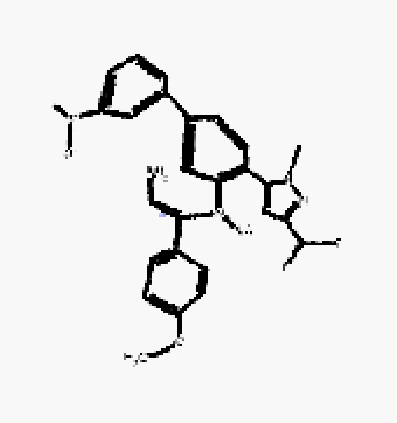 Cn1nc(C(F)F)cc1-c1ccc(-c2cccc([S+](C)[O-])c2)cc1N(N)/C(=C\N)c1ccc(OC(F)(F)F)cc1